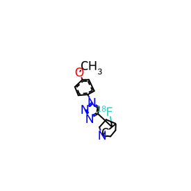 COc1ccc(-n2cc(C3([18F])CN4CCC3CC4)nn2)cc1